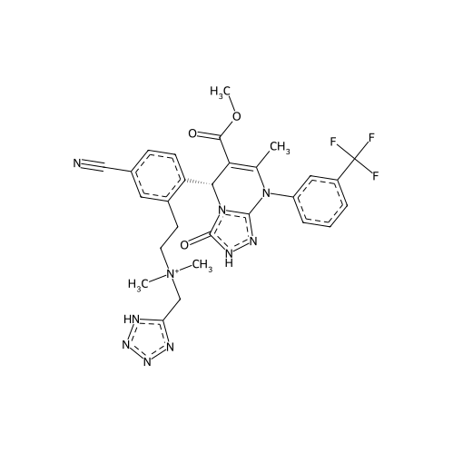 COC(=O)C1=C(C)N(c2cccc(C(F)(F)F)c2)c2n[nH]c(=O)n2[C@@H]1c1ccc(C#N)cc1CC[N+](C)(C)Cc1nnn[nH]1